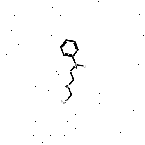 CCNCC[SiH](Cl)c1ccccc1